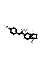 CCOC(=O)C(=CC1=CCC(=C=O)C=C1)c1ccc2c(c1)[C@H]1CC[C@H]2C1